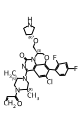 C=CC(=O)N1C[C@H](C)N(c2nc(=O)n3c4c(c(-c5ccc(F)cc5F)c(Cl)cc24)OC[C@@H]3CO[C@@H]2CCNC2)C[C@H]1C